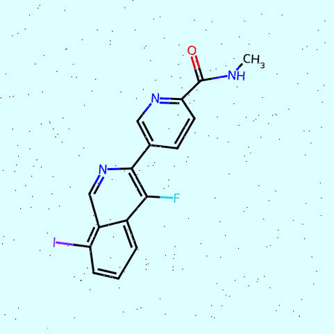 CNC(=O)c1ccc(-c2ncc3c(I)cccc3c2F)cn1